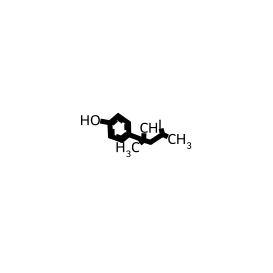 CC(I)CC(C)(C)c1ccc(O)cc1